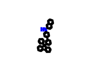 c1ccc(C2(c3cccc(-c4ccc(Nc5ccc6ccccc6c5)cc4)c3)c3ccccc3-c3ccccc32)cc1